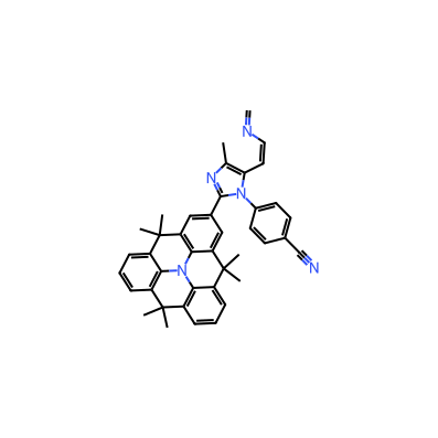 C=N/C=C\c1c(C)nc(-c2cc3c4c(c2)C(C)(C)c2cccc5c2N4c2c(cccc2C3(C)C)C5(C)C)n1-c1ccc(C#N)cc1